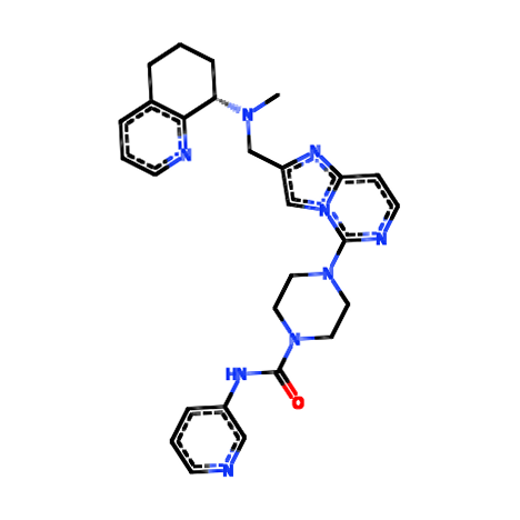 CN(Cc1cn2c(N3CCN(C(=O)Nc4cccnc4)CC3)nccc2n1)[C@H]1CCCc2cccnc21